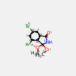 COC1(OC)NC(=O)c2cc(Br)cc(Br)c21